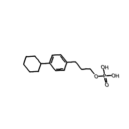 O=P(O)(O)OCCCc1ccc(C2CCCCC2)cc1